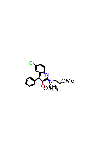 COCCN(C)c1nc2ccc(Cl)cc2c(-c2ccccc2)c1OC(=O)O